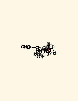 COC(=O)NC(C(=O)N[C@@H](Cc1ccc(C#Cc2ccc(N3CC4CCC(C3)N4C3COC3)nc2)cc1)[C@@H](O)CN(Cc1c(F)cc(-c2ccccn2)cc1Cl)NC(=O)[C@@H](NC(=O)OC)C(C)(C)CF)C(C)(C)CF